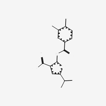 Cc1ccc(C(=O)Nc2sc(C(C)C)cc2C(N)=O)cc1C